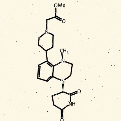 COC(=O)CN1CCC(c2cccc3c2N(C)CCN3[C@@H]2CCC(=O)NC2=O)CC1